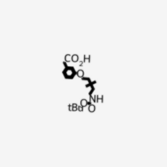 CC(C)(CCNC(=O)OC(C)(C)C)CCOc1cccc(CC(=O)O)c1